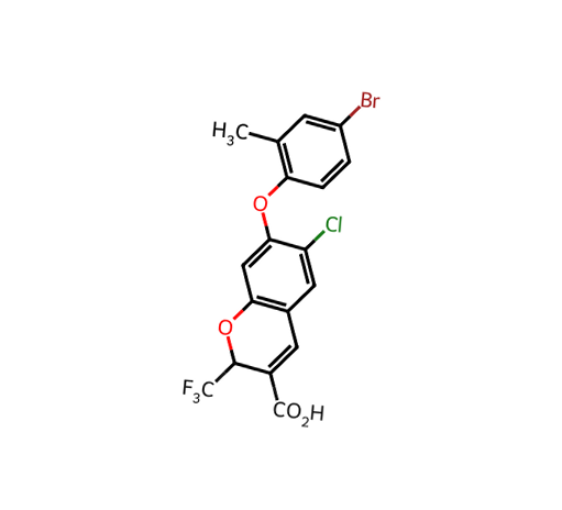 Cc1cc(Br)ccc1Oc1cc2c(cc1Cl)C=C(C(=O)O)C(C(F)(F)F)O2